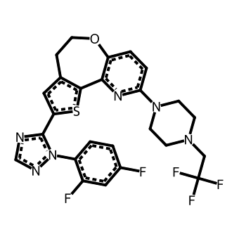 Fc1ccc(-n2ncnc2-c2cc3c(s2)-c2nc(N4CCN(CC(F)(F)F)CC4)ccc2OCC3)c(F)c1